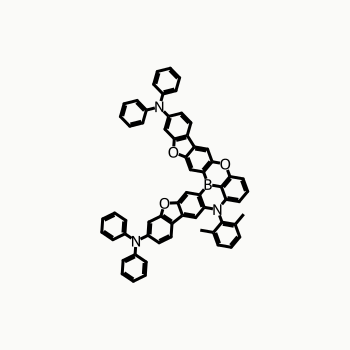 Cc1cccc(C)c1N1c2cc3c(cc2B2c4cc5oc6cc(N(c7ccccc7)c7ccccc7)ccc6c5cc4Oc4cccc1c42)oc1cc(N(c2ccccc2)c2ccccc2)ccc13